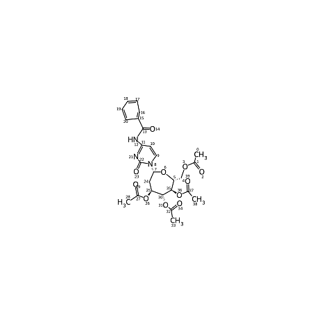 CC(=O)OC[C@H]1O[C@@H](n2ccc(NC(=O)c3ccccc3)nc2=O)C[C@H](OC(C)=O)[C@@H](OC(C)=O)[C@@H]1OC(C)=O